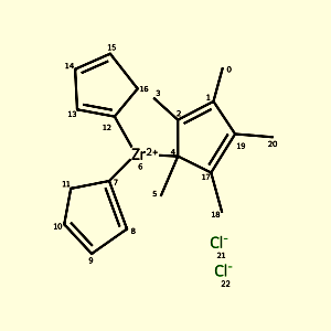 CC1=C(C)[C](C)([Zr+2]([C]2=CC=CC2)[C]2=CC=CC2)C(C)=C1C.[Cl-].[Cl-]